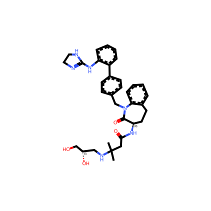 CC(C)(CC(=O)N[C@@H]1CCc2ccccc2N(Cc2ccc(-c3ccccc3NC3=NCCN3)cc2)C1=O)NC[C@H](O)CO